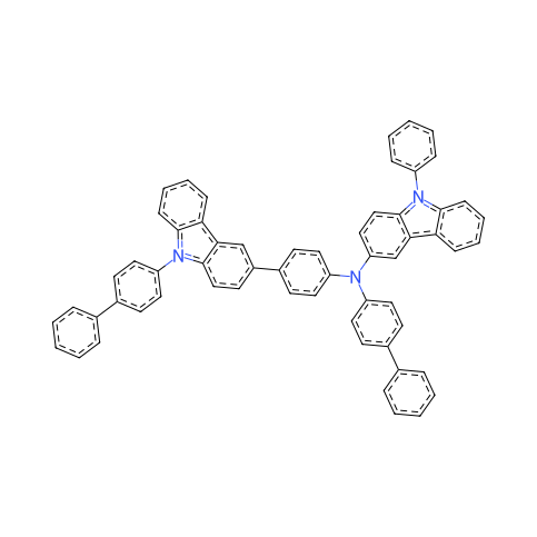 c1ccc(-c2ccc(N(c3ccc(-c4ccc5c(c4)c4ccccc4n5-c4ccc(-c5ccccc5)cc4)cc3)c3ccc4c(c3)c3ccccc3n4-c3ccccc3)cc2)cc1